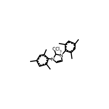 Cc1cc(C)c(N2C=CN(c3c(C)cc(C)cc3C)C2C(Cl)(Cl)Cl)c(C)c1